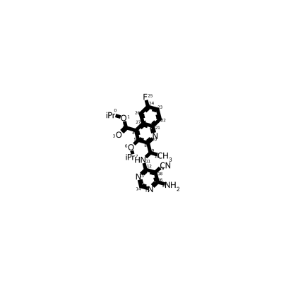 CC(C)OC(=O)c1c(OC(C)C)c(C(C)Nc2ncnc(N)c2C#N)nc2ccc(F)cc12